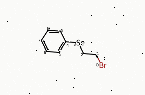 BrCC[Se]c1ccccc1